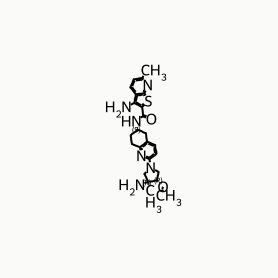 CO[C@@H]1CN(c2ccc3c(n2)CC[C@H](NC(=O)c2sc4nc(C)ccc4c2N)C3)C[C@@]1(C)N